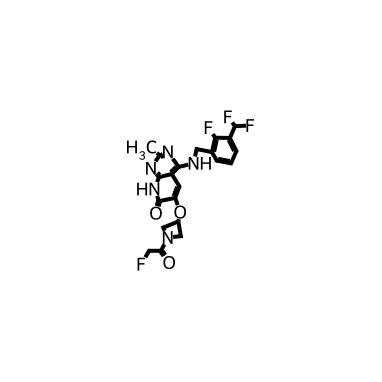 Cc1nc(NCc2cccc(C(F)F)c2F)c2cc(OC3CN(C(=O)CF)C3)c(=O)[nH]c2n1